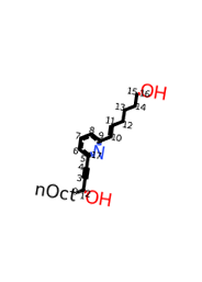 CCCCCCCCC(O)C#Cc1cccc(/C=C/CCCCO)n1